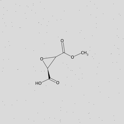 COC(=O)C1O[C@@H]1C(=O)O